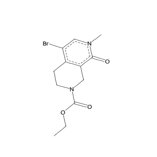 CCOC(=O)N1CCc2c(Br)cn(C)c(=O)c2C1